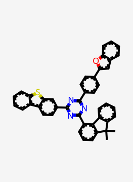 CC1(C)c2ccccc2-c2c(-c3nc(-c4ccc(-c5cc6ccccc6o5)cc4)nc(-c4ccc5c(c4)sc4ccccc45)n3)cccc21